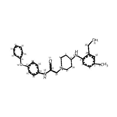 Cc1ccc(NC2CCN(CC(=O)Nc3ccc(Oc4ccccc4)cc3)CC2)c(CO)c1